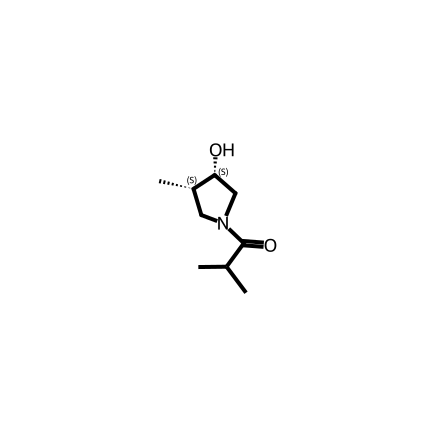 CC(C)C(=O)N1C[C@@H](O)[C@@H](C)C1